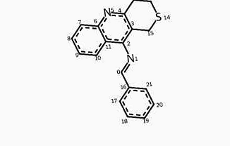 C(=Nc1c2c(nc3ccccc13)CCSC2)c1ccccc1